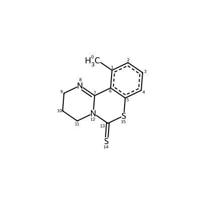 Cc1cccc2c1C1=NCCCN1C(=S)S2